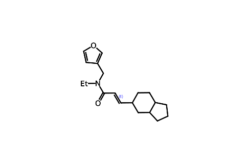 CCN(Cc1ccoc1)C(=O)/C=C/C1CCC2CCCC2C1